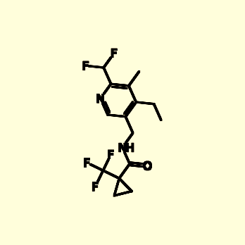 CCc1c(CNC(=O)C2(C(F)(F)F)CC2)cnc(C(F)F)c1C